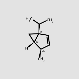 CC(C)[C@@]12C=C[C@@H](C)[C@@H]1C2